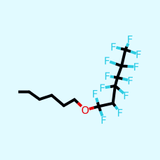 CCCCCCOC(F)(F)C(F)C(F)(F)C(F)(F)C(F)(F)C(F)(F)F